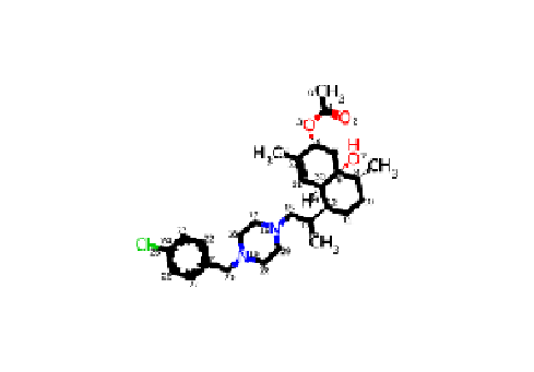 CC(=O)O[C@@H]1[CH][C@@]2(O)[C@H](C)CC[C@@H](C(C)CN3CCN(Cc4ccc(Cl)cc4)CC3)[C@H]2C=C1C